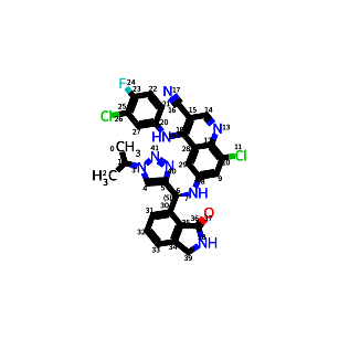 CC(C)n1cc([C@@H](Nc2cc(Cl)c3ncc(C#N)c(Nc4ccc(F)c(Cl)c4)c3c2)c2cccc3c2C(=O)NC3)nn1